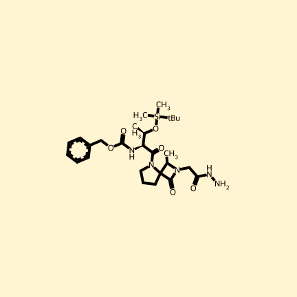 CC1N(CC(=O)NN)C(=O)C12CCCN2C(=O)[C@@H](NC(=O)OCc1ccccc1)[C@@H](C)O[Si](C)(C)C(C)(C)C